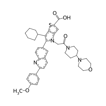 COc1ccc(-c2ccc3cc(-c4c(C5CCCCC5)c5sc(C(=O)O)cc5n4CC(=O)N4CCC(N5CCOCC5)CC4)ccc3n2)cc1